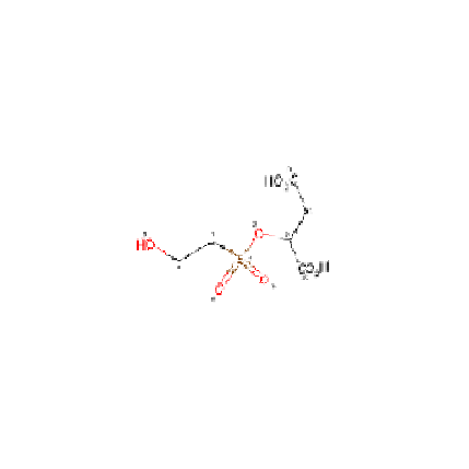 O=C(O)CC(OS(=O)(=O)CCO)C(=O)O